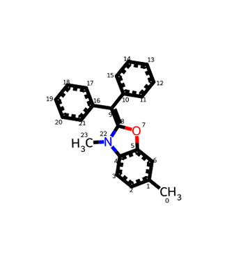 Cc1ccc2c(c1)OC(=C(c1ccccc1)c1ccccc1)N2C